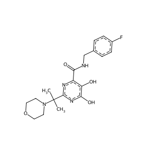 CC(C)(c1nc(O)c(O)c(C(=O)NCc2ccc(F)cc2)n1)N1CCOCC1